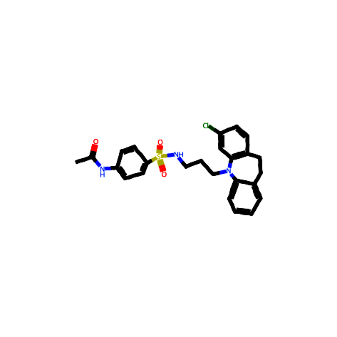 CC(=O)Nc1ccc(S(=O)(=O)NCCCN2c3ccccc3CCc3ccc(Cl)cc32)cc1